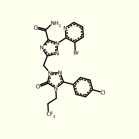 NC(=O)c1nc(Cn2nc(-c3ccc(Cl)cc3)n(CCC(F)(F)F)c2=O)nn1-c1ncccc1Br